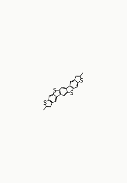 Cc1cc2cc3c(cc2s1)sc1cc2c(cc13)sc1cc3sc(C)cc3cc12